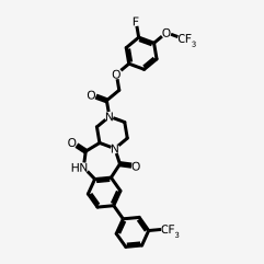 O=C1Nc2ccc(-c3cccc(C(F)(F)F)c3)cc2C(=O)N2CCN(C(=O)COc3ccc(OC(F)(F)F)c(F)c3)CC12